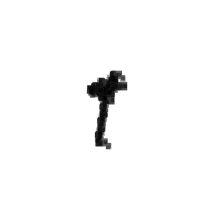 Cc1cc([C@H](C(=O)N2C[C@H](O)C[C@H]2C(=O)N[C@@H](CC(=O)NCCOCCOCCOCCOCCOCCN)c2ccc(-c3scnc3C)cc2)C(C)C)on1